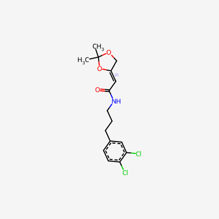 CC1(C)OC/C(=C/C(=O)NCCCc2ccc(Cl)c(Cl)c2)O1